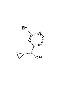 OC(c1ccnc(Br)c1)C1CC1